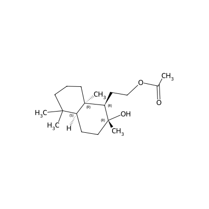 CC(=O)OCC[C@@H]1[C@]2(C)CCCC(C)(C)[C@@H]2CC[C@@]1(C)O